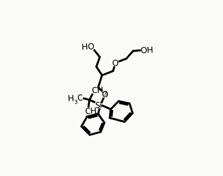 CC(C)(C)[Si](OCC(CCO)COCCO)(c1ccccc1)c1ccccc1